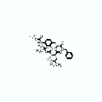 COC(=O)Nc1ccc(C[C@@H](OC(=O)[C@H](CC(C)C)N(C)C(=O)OC(C)(C)C)C(=O)OCc2ccccc2)cc1